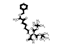 CC(OCc1ccccc1)C(=O)C=CCCC[C@@H](C(=O)O)N(C(=O)OC(C)(C)C)C(=O)OC(C)(C)C